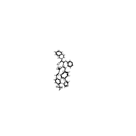 O=C(C(Cc1ccccc1)N(Cc1ccc(-n2cncn2)cc1)C(=O)C=Cc1ccc(C(F)(F)F)cc1)N1CCc2ccccc2C1